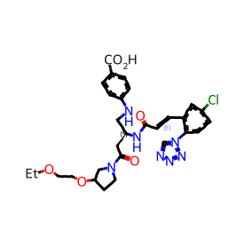 CCOCCOC1CCN(C(=O)C[C@@H](CNc2ccc(C(=O)O)cc2)NC(=O)/C=C/c2cc(Cl)ccc2-n2cnnn2)C1